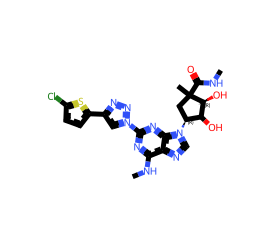 CNC(=O)C1(C)C[C@@H](n2cnc3c(NC)nc(-n4cc(-c5ccc(Cl)s5)nn4)nc32)C(O)[C@@H]1O